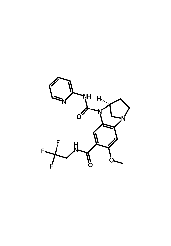 COc1cc2c(cc1C(=O)NCC(F)(F)F)N(C(=O)Nc1ccccn1)[C@H]1CCN2C1